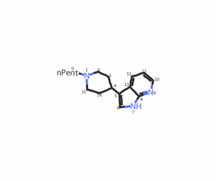 CCCCCN1CCC(c2c[nH]c3ncccc23)CC1